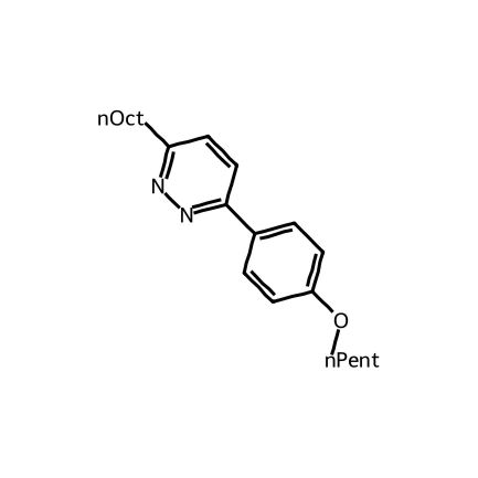 CCCCCCCCc1ccc(-c2ccc(OCCCCC)cc2)nn1